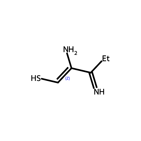 CCC(=N)/C(N)=C/S